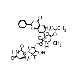 CC(C)OC(=O)[C@H](C)NP(=O)(OC[C@H]1O[C@@H](n2ccc(=O)[nH]c2=O)[C@](C)(F)[C@@H]1O)Oc1ccc2c(c1)OC(c1ccccc1)CC2=O